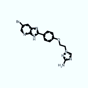 Nc1ncn(CCOc2ccc(-c3nc4cc(Br)cnc4[nH]3)cc2)n1